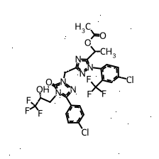 CC(=O)OC(C)c1nc(Cn2nc(-c3ccc(Cl)cc3)n(C[C@H](O)C(F)(F)F)c2=O)nn1-c1ccc(Cl)cc1C(F)(F)F